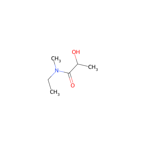 CCN(C)C(=O)C(C)O